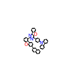 c1ccc2cc(-c3ccc4c(c3)oc3cccc(-c5nc(-c6ccc(-n7c8ccccc8c8ccccc87)cc6)c6oc7ccccc7c6n5)c34)ccc2c1